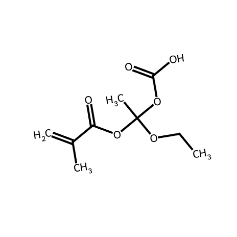 C=C(C)C(=O)OC(C)(OCC)OC(=O)O